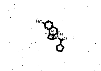 C[C@@]12CC3[C@H]1[C@@H](Cc1ccc(O)cc12)N3C(=O)C1CCCC1